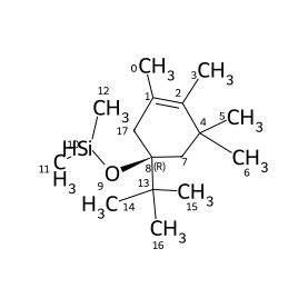 CC1=C(C)C(C)(C)C[C@](O[SiH](C)C)(C(C)(C)C)C1